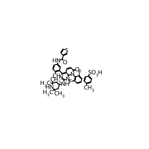 Cc1ccc(NC(=O)c2ccsc2)cc1-c1nc(NC2CC(C)(C)NC(C)(C)C2)nc2c1ccc(=O)n2-c1c(F)cccc1F.Cc1ccc(S(=O)(=O)O)cc1